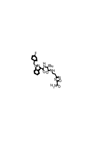 CC(C)(C)C(NC(=O)c1nn(Cc2ccc(F)cc2)c2ccccc12)C(=O)NCCc1noc(C(N)=O)n1